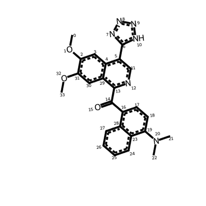 COc1cc2c(-c3nnn[nH]3)cnc(C(=O)c3ccc(N(C)C)c4ccccc34)c2cc1OC